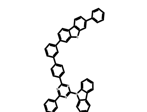 c1ccc(-c2ccc3c(c2)sc2cc(-c4cccc(-c5ccc(-c6nc(-c7ccccc7)nc(-n7c8ccccc8c8ccccc87)n6)cc5)c4)ccc23)cc1